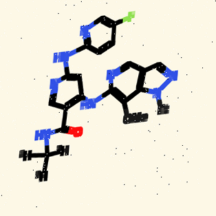 [2H]C([2H])([2H])NC(=O)c1cnc(Nc2ccc(F)cn2)cc1Nc1ncc2cnn(CC)c2c1OC